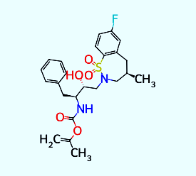 C=C(C)OC(=O)N[C@@H](Cc1ccccc1)[C@H](O)CN1C[C@H](C)Cc2cc(F)ccc2S1(=O)=O